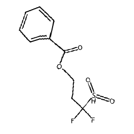 O=C(OCCC(F)(F)[SH](=O)=O)c1ccccc1